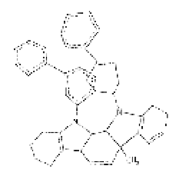 CC12C=CC3C4=C(CCCC4)N(c4cccc(-c5ccccc5)c4)C3C1N(C1CC=C(c3ccccc3)CC1)C1=C2C=CCC1